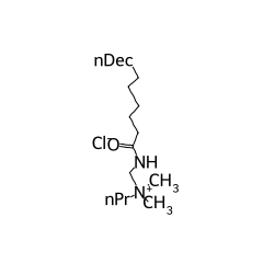 CCCCCCCCCCCCCCCC(=O)NC[N+](C)(C)CCC.[Cl-]